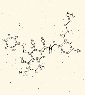 C=CCCOc1cc(F)ccc1CNC(=O)c1cn2c(c(OCc3ccccc3)c1=O)C(=O)N(C)CN2